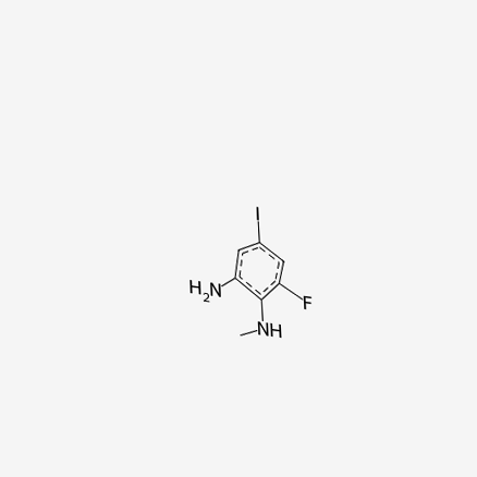 CNc1c(N)cc(I)cc1F